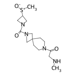 CNCC(=O)N1CCC2(CC1)CN(C(=O)N1CC([S+](C)[O-])C1)C2